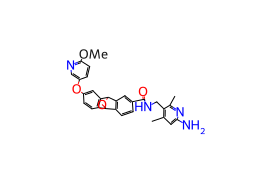 COc1ccc(Oc2ccc3c(c2)C2OC3c3ccc(C(=O)NCc4c(C)cc(N)nc4C)cc32)cn1